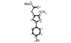 COC(=O)Cc1nc(-c2ccc(C(C)C)cc2)oc1C